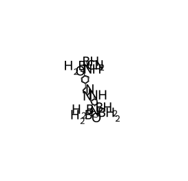 BC(B)(C#N)NC(=O)c1ccc(-c2ccnc(Nc3ccc(N4C(B)(B)COCC4(B)B)cc3)n2)cc1